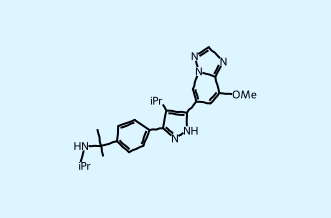 COc1cc(-c2[nH]nc(-c3ccc(C(C)(C)NC(C)C)cc3)c2C(C)C)cn2ncnc12